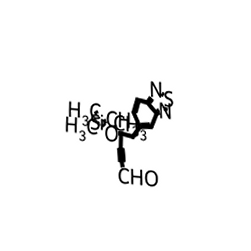 CC(C#CC=O)(Cc1ccc2nsnc2c1)O[Si](C)(C)C